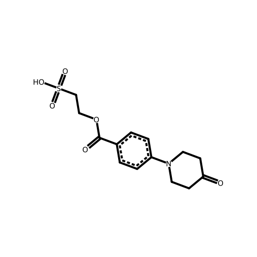 O=C1CCN(c2ccc(C(=O)OCCS(=O)(=O)O)cc2)CC1